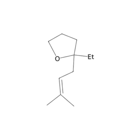 CCC1(CC=C(C)C)CCCO1